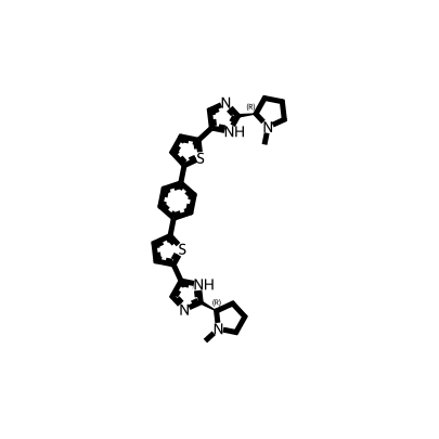 CN1CCC[C@@H]1c1ncc(-c2ccc(-c3ccc(-c4ccc(-c5cnc([C@H]6CCCN6C)[nH]5)s4)cc3)s2)[nH]1